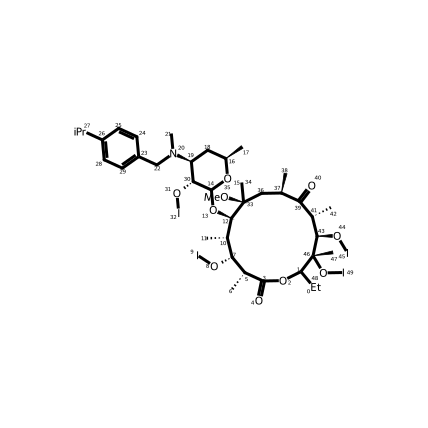 CCC1OC(=O)[C@H](C)[C@H](OI)[C@H](C)[C@@H](OC2O[C@H](C)C[C@H](N(C)Cc3ccc(C(C)C)cc3)[C@H]2OI)[C@@](C)(OC)C[C@@H](C)C(=O)[C@H](C)[C@@H](OI)[C@]1(C)OI